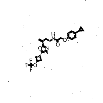 C=C(CCNC(=O)COc1ccc(C2CC2)cc1)c1nnc([C@H]2C[C@@H](OC(F)(F)F)C2)o1